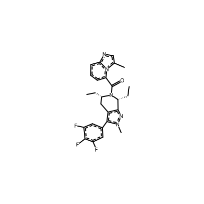 CC[C@H]1Cc2c(nn(C)c2-c2cc(F)c(F)c(F)c2)[C@@H](CC)N1C(=O)c1cccc2ncc(C)n12